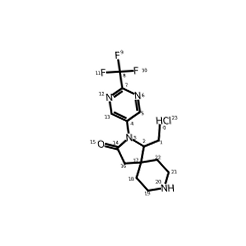 CCC1N(c2cnc(C(F)(F)F)nc2)C(=O)CC12CCNCC2.Cl